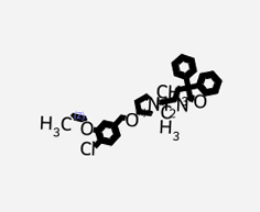 C/C=C\Oc1cc(CO[C@@H]2CCN(C(C)(C)CCC(C(N)=O)(c3ccccc3)c3ccccc3)C2)ccc1Cl